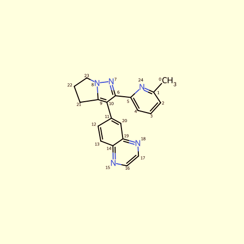 Cc1cccc(-c2nn3c(c2-c2ccc4nccnc4c2)CCC3)n1